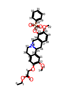 CCOC(=O)COc1cc2c(cc1OC)C1Cc3ccc(OC)c(OS(=O)(=O)c4ccccc4)c3CN1CC2